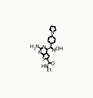 CCNC(=O)c1cc2c(C(=NO)c3ccc(-n4cccc4)cc3)nc(N)nc2s1